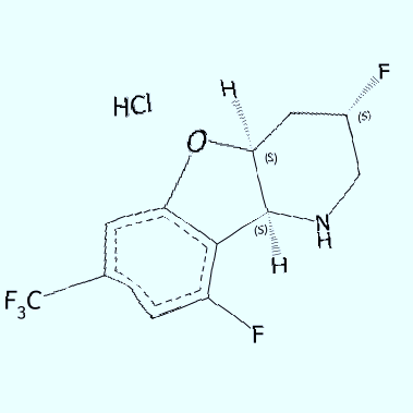 Cl.Fc1cc(C(F)(F)F)cc2c1[C@@H]1NC[C@@H](F)C[C@@H]1O2